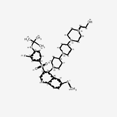 CSc1ccc2ncc(S(=O)(=O)c3ccc(OC(C)(C)C)c(F)c3)c(N3CCC(N4CCC(N5CCN(CCO)CC5)CC4)CC3)c2c1